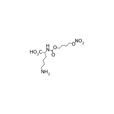 NCCCCC(NC(=O)OCCCCO[N+](=O)[O-])C(=O)O